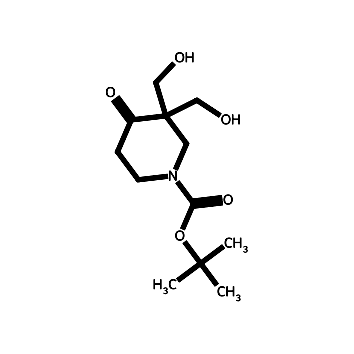 CC(C)(C)OC(=O)N1CCC(=O)C(CO)(CO)C1